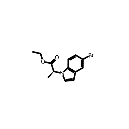 CCOC(=O)[C@H](C)n1ccc2cc(Br)ccc21